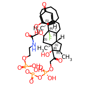 C[C@@H]1C[C@H]2[C@@H]3CCC4=CC(=O)C=C[C@]4(C)[C@@]3(F)[C@@H](O)C[C@]2(C)[C@@]1(O)C(=O)COP(=O)(O)OP(=O)(O)OP(=O)(O)OCCNC(=O)COC1C#CCCCCC1